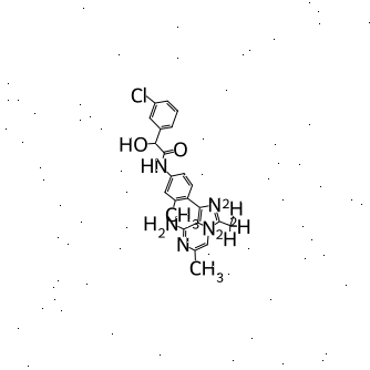 [2H]C([2H])([2H])c1nc(-c2ccc(NC(=O)C(O)c3cccc(Cl)c3)cc2C)c2c(N)nc(C)cn12